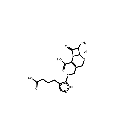 NC1C(=O)N2C(C(=O)O)=C(CSc3[nH]nnc3CCCC(=O)O)CS[C@H]12